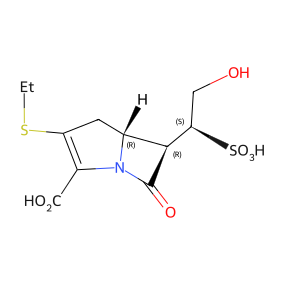 CCSC1=C(C(=O)O)N2C(=O)[C@H]([C@@H](CO)S(=O)(=O)O)[C@H]2C1